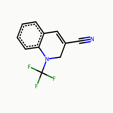 N#CC1=Cc2ccccc2N(C(F)(F)F)C1